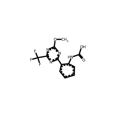 COc1nc(-c2ccccc2NC(=O)O)nc(C(F)(F)F)n1